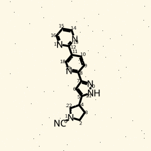 N#CN1CCC(c2cc(-c3ccc(-c4ncccn4)cn3)n[nH]2)C1